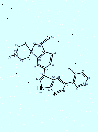 Cc1ccncc1-c1cnc2[nH]cc(-c3ccc4c(c3)C3(CCN(C)CC3)CC4=O)c2c1